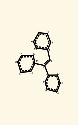 [c]1cccc(C=C(c2ccccc2)c2ccccc2)c1